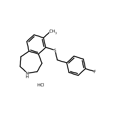 Cc1ccc2c(c1SCc1ccc(F)cc1)CCNCC2.Cl